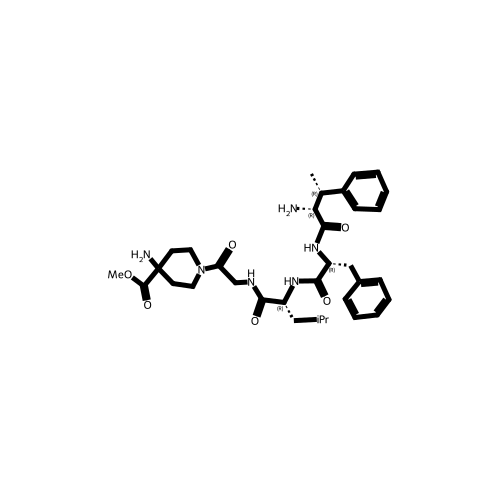 COC(=O)C1(N)CCN(C(=O)CNC(=O)[C@@H](CC(C)C)NC(=O)[C@@H](Cc2ccccc2)NC(=O)[C@H](N)[C@H](C)c2ccccc2)CC1